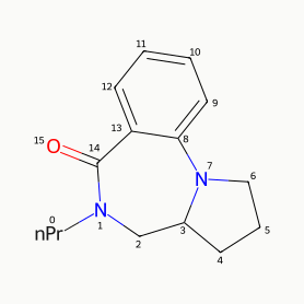 CCCN1CC2CCCN2c2ccccc2C1=O